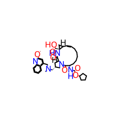 COc1cc(CN(C)C[C@@H]2C[C@H]3C(=O)N[C@]4(C(=O)O)C[C@H]4/C=C\CCCCC[C@@H](NC(=O)OC4CCCC4)C(=O)N3C2)c2ccccc2n1